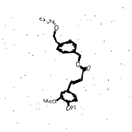 COc1cc(C=CC(=O)OCc2ccc(CO[N+](=O)[O-])cc2)ccc1O